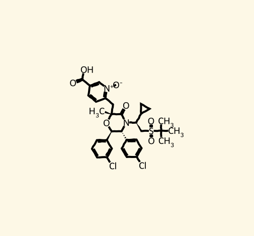 CC(C)(C)S(=O)(=O)C[C@H](C1CC1)N1C(=O)[C@@](C)(Cc2ccc(C(=O)O)c[n+]2[O-])O[C@H](c2cccc(Cl)c2)[C@H]1c1ccc(Cl)cc1